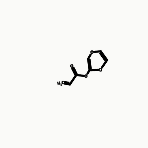 C=CC(=O)OC1=COC=CO1